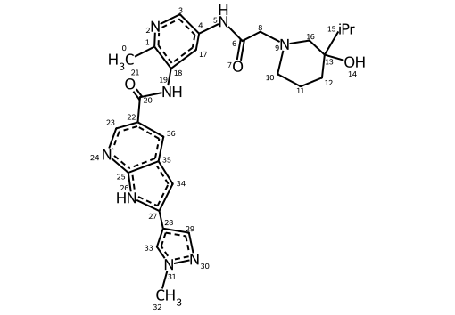 Cc1ncc(NC(=O)CN2CCCC(O)(C(C)C)C2)cc1NC(=O)c1cnc2[nH]c(-c3cnn(C)c3)cc2c1